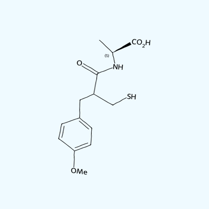 COc1ccc(CC(CS)C(=O)N[C@@H](C)C(=O)O)cc1